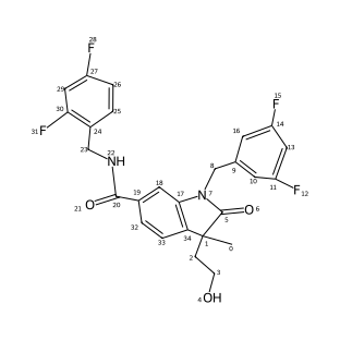 CC1(CCO)C(=O)N(Cc2cc(F)cc(F)c2)c2cc(C(=O)NCc3ccc(F)cc3F)ccc21